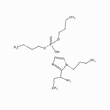 CCCCOP(=O)(O)OCCCC.CCCCn1ccnc1C(N)CC